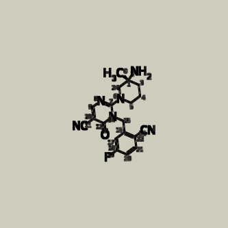 C[C@@]1(N)CCCN(c2ncc(C#N)c(=O)n2Cc2cc(F)ccc2C#N)C1